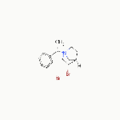 C[C@@H](c1ccccc1)[N+]12CC[C@H](C1)C(Br)C2.[Br-]